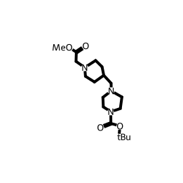 COC(=O)CN1CCC(CN2CCN(C(=O)OC(C)(C)C)CC2)CC1